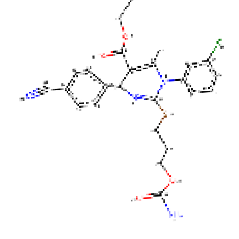 CCOC(=O)C1=C(C)N(c2cccc(Cl)c2)C(SCCCOC(N)=O)=NC1c1ccc(C#N)cc1